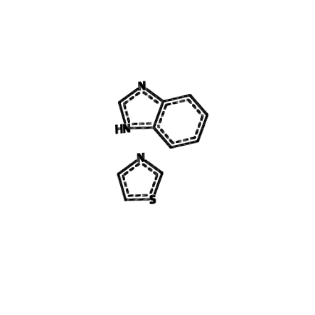 c1ccc2[nH]cnc2c1.c1cscn1